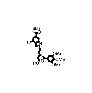 COc1cc(C(=O)OC(CCO)CCn2cc3c(Cl)cc(C(=O)OC(C)(C)C)cc3n2)cc(OC)c1OC